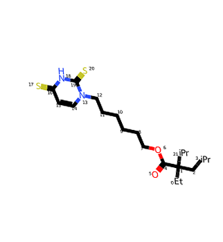 CCC(CC(C)C)(C(=O)OCCCCCCn1ccc(=S)[nH]c1=S)C(C)C